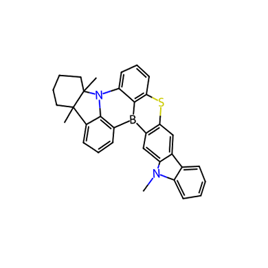 Cn1c2ccccc2c2cc3c(cc21)B1c2cccc4c2N(c2cccc(c21)S3)C1(C)CCCCC41C